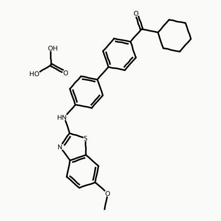 COc1ccc2nc(Nc3ccc(-c4ccc(C(=O)C5CCCCC5)cc4)cc3)sc2c1.O=C(O)O